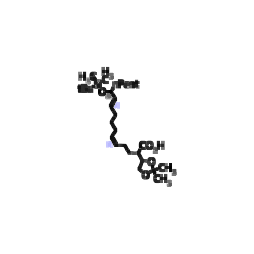 CCCCC[C@@H](/C=C/CCC/C=C\CCC(C(=O)O)C1COC(C)(C)O1)O[Si](C)(C)C(C)(C)C